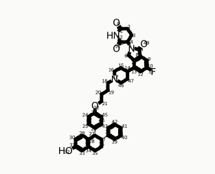 O=C1CCC(N2Cc3c(cc(F)cc3C3CCN(CCCCOc4ccc([C@H]5c6ccc(O)cc6CC[C@H]5c5ccccc5)cc4)CC3)C2=O)C(=O)N1